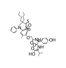 CCCCC1(CCCC)CN(c2ccccc2)c2cc(C)c(OCC(=O)N[C@@H](C(=O)N[C@H](C(=O)O)C(C)C)c3ccc(O)cc3)cc2S(=O)(=O)C1=S